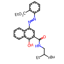 CCCCC(CC)CNC(=O)c1cc(N=Nc2ccccc2C(=O)OCC)c2ccccc2c1O